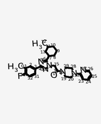 Cc1cc(-c2nc(C3CCCC(C)C3)n(CC(=O)N3CCN(c4ccccn4)CC3)n2)ccc1F